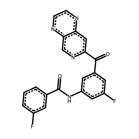 O=C(Nc1cc(F)cc(C(=O)c2cc3nccnc3cn2)c1)c1cccc(F)c1